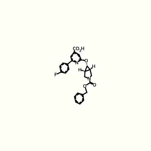 O=C(O)c1cc(O[C@@H]2[C@@H]3CN(C(=O)OCc4ccccc4)C[C@@H]32)nc(-c2ccc(F)cc2)c1